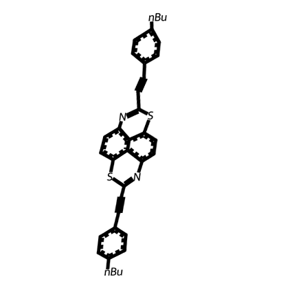 CCCCc1ccc(C#CC2=Nc3ccc4c5c(ccc(c35)S2)N=C(C#Cc2ccc(CCCC)cc2)S4)cc1